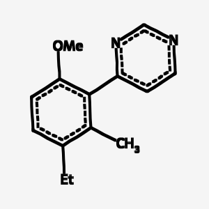 CCc1ccc(OC)c(-c2ccncn2)c1C